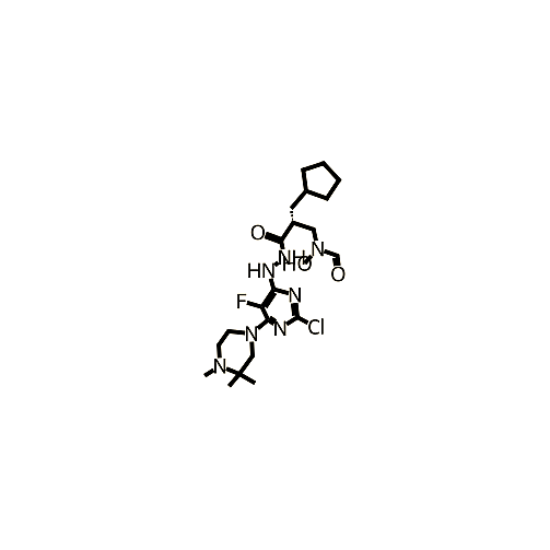 CN1CCN(c2nc(Cl)nc(NNC(=O)[C@H](CC3CCCC3)CN(O)C=O)c2F)CC1(C)C